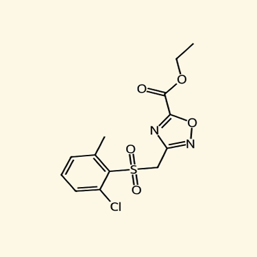 CCOC(=O)c1nc(CS(=O)(=O)c2c(C)cccc2Cl)no1